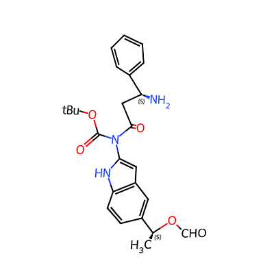 C[C@H](OC=O)c1ccc2[nH]c(N(C(=O)C[C@H](N)c3ccccc3)C(=O)OC(C)(C)C)cc2c1